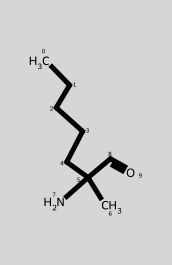 CCCCCC(C)(N)C=O